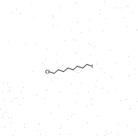 ClCCCCCCCCI